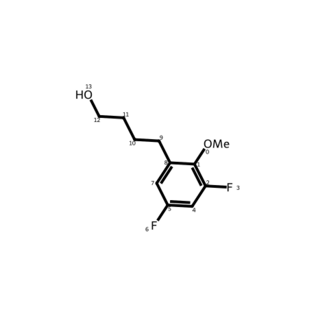 COc1c(F)cc(F)cc1CCCCO